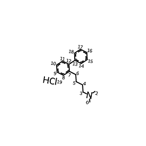 CN(C)CCCCc1ccccc1-c1ccccc1.Cl